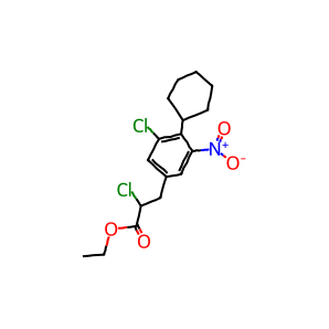 CCOC(=O)C(Cl)Cc1cc(Cl)c(C2CCCCC2)c([N+](=O)[O-])c1